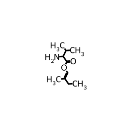 CCC(C)=COC(=O)C(N)C(C)C